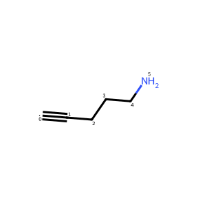 [C]#CCCCN